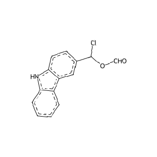 O=COC(Cl)c1ccc2[nH]c3ccccc3c2c1